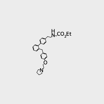 CCOC(=O)CNCCc1ccc(-c2ccccc2Cc2ccc(OCCN3CCCC3)cc2)cc1